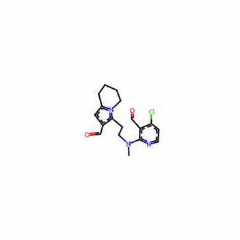 CN(CCc1c(C=O)cc2n1CCCC2)c1nccc(Cl)c1C=O